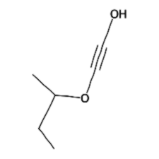 CCC(C)OC#CO